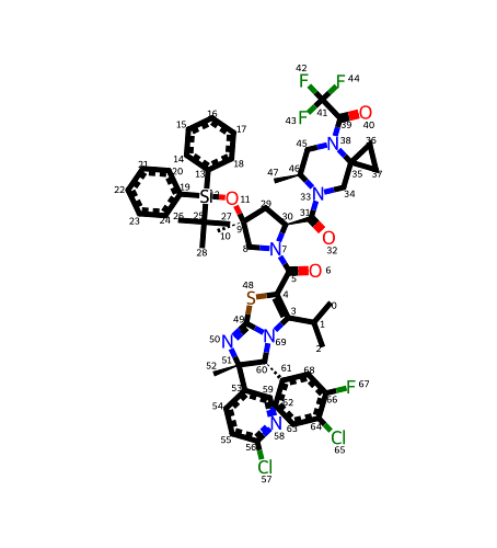 CC(C)C1=C(C(=O)N2C[C@@](C)(O[Si](c3ccccc3)(c3ccccc3)C(C)(C)C)C[C@H]2C(=O)N2CC3(CC3)N(C(=O)C(F)(F)F)C[C@@H]2C)SC2=N[C@@](C)(c3ccc(Cl)nc3)[C@@H](c3ccc(Cl)c(F)c3)N21